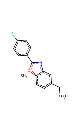 C.O=C(O)Cc1ccc2oc(-c3ccc(F)cc3)nc2c1